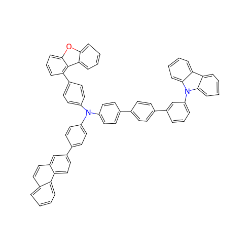 c1cc(-c2ccc(-c3ccc(N(c4ccc(-c5ccc6c(ccc7ccccc76)c5)cc4)c4ccc(-c5cccc6oc7ccccc7c56)cc4)cc3)cc2)cc(-n2c3ccccc3c3ccccc32)c1